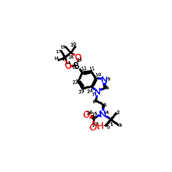 CC(C)(C)N(CCn1cnc2cc(B3OC(C)(C)C(C)(C)O3)ccc21)C(=O)O